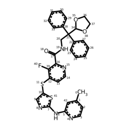 Cc1ccnc(Nc2ncc(Sc3ccnc(C(=O)NCC(c4ccccc4)(c4ccccc4)C4OCCO4)c3F)s2)c1